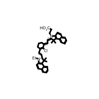 CC[N+]1=C(/C=C/C2=C(Cl)C(=C/C=C3/N(CCC(=O)O)c4ccc5ccccc5c4C3(C)C)/CCC2)C(C)(C)c2c1ccc1ccccc21